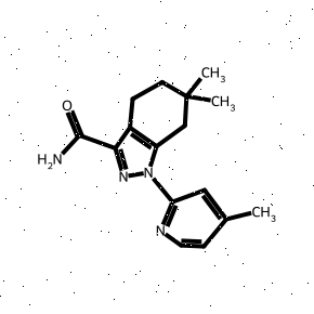 Cc1ccnc(-n2nc(C(N)=O)c3c2CC(C)(C)CC3)c1